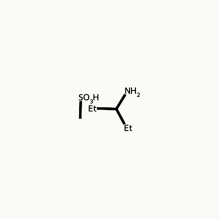 CCC(N)CC.CS(=O)(=O)O